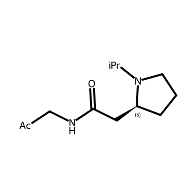 CC(=O)CNC(=O)C[C@@H]1CCCN1C(C)C